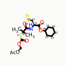 CC(=O)OCOC(=O)SC(C)(C)C(=O)N[C@@H](CS)C(=O)OC1CCCCC1